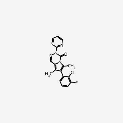 Cc1c(-c2cccc(F)c2Cl)c(C)n2c(=O)n(-c3ncccn3)ncc12